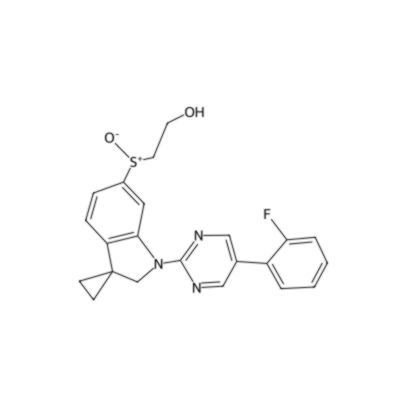 [O-][S+](CCO)c1ccc2c(c1)N(c1ncc(-c3ccccc3F)cn1)CC21CC1